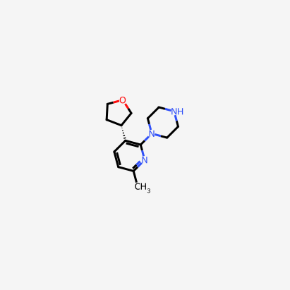 Cc1ccc([C@@H]2CCOC2)c(N2CCNCC2)n1